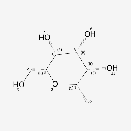 C[C@@H]1O[C@H](CO)[C@H](O)[C@H](O)[C@@H]1O